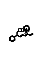 C=CC(=CC=CC(CC(=O)O)c1ccccc1)c1ccccc1